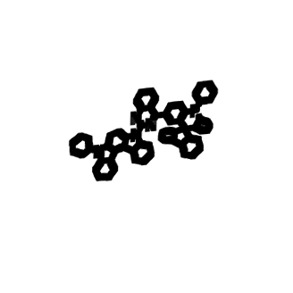 c1ccc(-n2c3ccccc3c3c4c5ccccc5n(-c5nc(-c6ccc7c(c6)C6(c8ccccc8-c8ccccc86)c6ccccc6P7c6ccccc6)c6ccccc6n5)c4ccc32)cc1